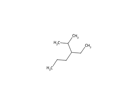 CCCC(CC)[C](C)C